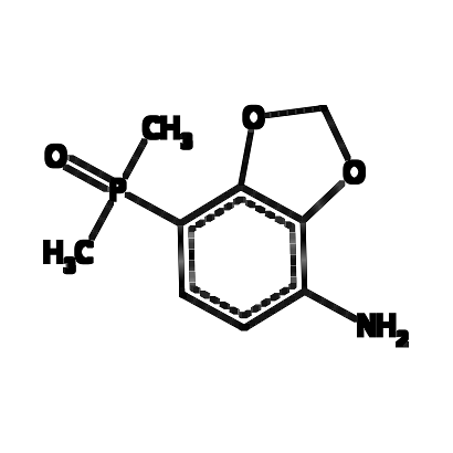 CP(C)(=O)c1ccc(N)c2c1OCO2